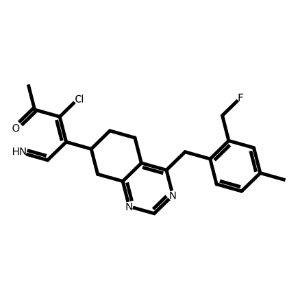 CC(=O)/C(Cl)=C(\C=N)C1CCc2c(Cc3ccc(C)cc3CF)ncnc2C1